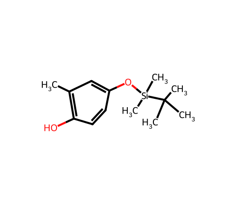 Cc1cc(O[Si](C)(C)C(C)(C)C)ccc1O